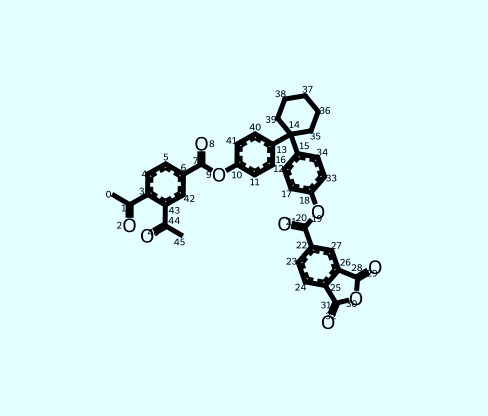 CC(=O)c1ccc(C(=O)Oc2ccc(C3(c4ccc(OC(=O)c5ccc6c(c5)C(=O)OC6=O)cc4)CCCCC3)cc2)cc1C(C)=O